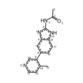 CC(=O)Nc1nc2cc(-c3cnccc3C)ccc2[nH]1